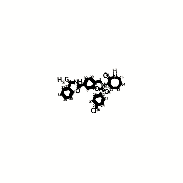 CC(NC(=O)c1ccc(CN([C@@H]2CCCCNC2=O)S(=O)(=O)c2ccc(Cl)cc2)cc1)c1ccccc1